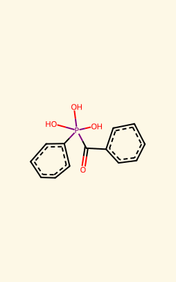 O=C(c1ccccc1)P(O)(O)(O)c1ccccc1